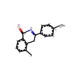 Cc1cccc2c1CC(c1ccc(C(C)(C)C)cc1)=NC2=O